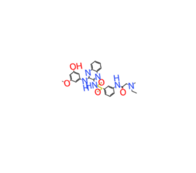 CCN(C)CC(=O)Nc1cccc(S(=O)(=O)Nc2nc3ccccc3nc2Nc2cc(O)cc(OC)c2)c1